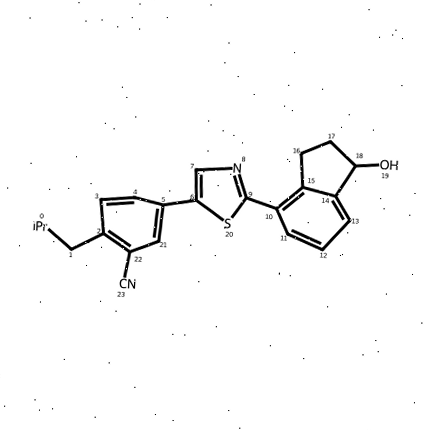 CC(C)Cc1ccc(-c2cnc(-c3cccc4c3CCC4O)s2)cc1C#N